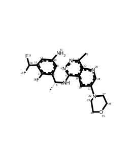 Cc1nnc(N[C@H](C)c2cc(N)cc(C(F)F)c2F)c2cc(N3CCOCC3)cnc12